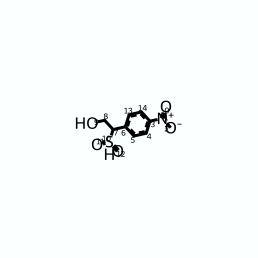 O=[N+]([O-])c1ccc(C(CO)[SH](=O)=O)cc1